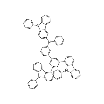 c1ccc(N(c2cccc(-c3cc(-c4cccc5c4c4ccccc4n5-c4ccccc4)cc(-c4cccc5c6ccccc6n(-c6ccccc6)c45)c3)c2)c2ccc3c(c2)c2ccccc2n3-c2ccccc2)cc1